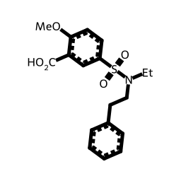 CCN(CCc1ccccc1)S(=O)(=O)c1ccc(OC)c(C(=O)O)c1